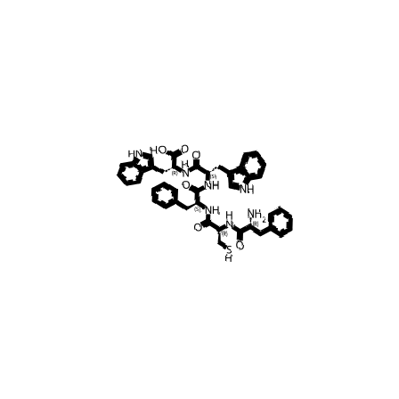 N[C@H](Cc1ccccc1)C(=O)N[C@@H](CS)C(=O)N[C@@H](Cc1ccccc1)C(=O)N[C@@H](Cc1c[nH]c2ccccc12)C(=O)N[C@H](Cc1c[nH]c2ccccc12)C(=O)O